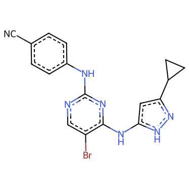 N#Cc1ccc(Nc2ncc(Br)c(Nc3cc(C4CC4)n[nH]3)n2)cc1